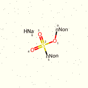 CCCCCCCCCOS(=O)(=O)CCCCCCCCC.[NaH]